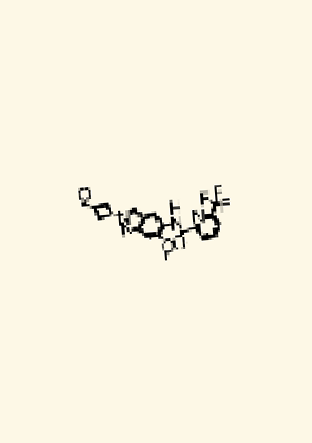 COc1cc2nn([C@H]3C[C@H](C=O)C3)cc2cc1NC(=O)c1cccc(C(F)(F)F)n1